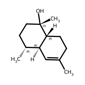 CC1=C[C@H]2[C@H](C)CC[C@](C)(O)[C@@H]2CC1